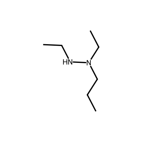 CCCN(CC)NCC